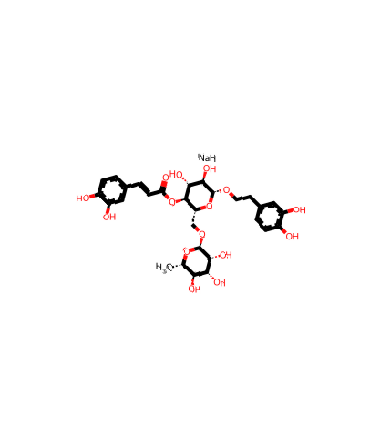 C[C@@H]1O[C@@H](OC[C@H]2O[C@@H](OCCc3ccc(O)c(O)c3)[C@H](O)[C@@H](O)[C@@H]2OC(=O)/C=C/c2ccc(O)c(O)c2)[C@H](O)[C@H](O)[C@H]1O.[NaH]